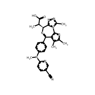 Cc1sc2c(c1C)C(c1ccc(N(C)c3ccc(C#N)cn3)cc1)=N[C@@H](C(C)C(=O)O)c1nnc(C)n1-2